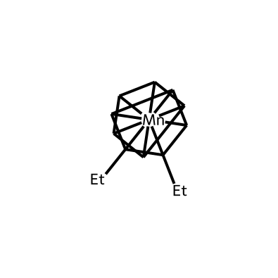 CC[C]12[CH]3[CH]4[CH]5[C]1(CC)[Mn]43521678[CH]2[CH]1[CH]6[CH]7[CH]28